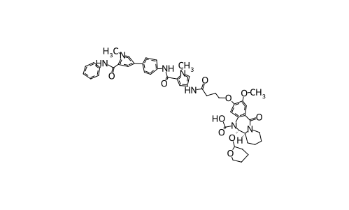 COc1cc2c(cc1OCCCC(=O)Nc1cc(C(=O)Nc3ccc(-c4cc(C(=O)Nc5ccccc5)n(C)c4)cc3)n(C)c1)N(C(=O)O)[C@@H](OC1CCCCO1)[C@@H]1CCCCN1C2=O